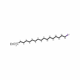 CCOC(=O)CCCCCCCCCCCCCCCCI